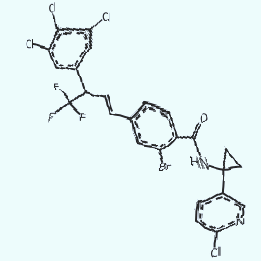 O=C(NC1(c2ccc(Cl)nc2)CC1)c1ccc(/C=C/C(c2cc(Cl)c(Cl)c(Cl)c2)C(F)(F)F)cc1Br